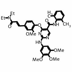 CCN(CC)C(=O)C=Cc1ccc(Oc2nc(Nc3cc(OC)c(OC)c(OC)c3)ncc2C(=O)Nc2c(C)cccc2C)c(OC)c1